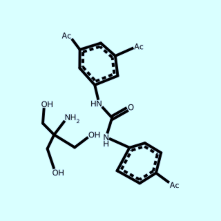 CC(=O)c1ccc(NC(=O)Nc2cc(C(C)=O)cc(C(C)=O)c2)cc1.NC(CO)(CO)CO